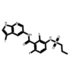 CCCS(=O)(=O)Nc1ccc(F)c(C(=O)Nc2cnc3[nH]cc(I)c3c2)c1F